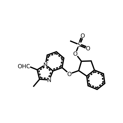 Cc1nc2c(OC3c4ccccc4CC3OS(C)(=O)=O)cccn2c1C=O